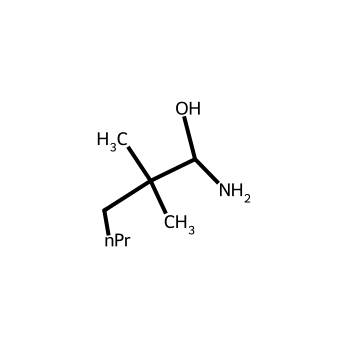 CCCCC(C)(C)C(N)O